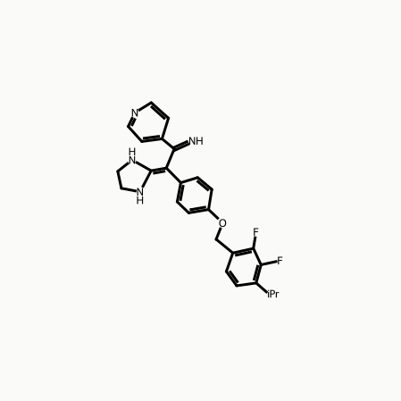 CC(C)c1ccc(COc2ccc(C(C(=N)c3ccncc3)=C3NCCN3)cc2)c(F)c1F